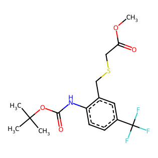 COC(=O)CSCc1cc(C(F)(F)F)ccc1NC(=O)OC(C)(C)C